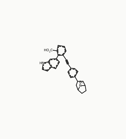 CC(=O)N1C2CCC1CC(c1ccc(C#Cc3cccc(C(=O)O)c3-c3ccc4cc[nH]c4c3)cc1)C2